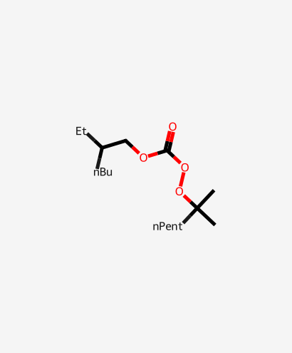 CCCCCC(C)(C)OOC(=O)OCC(CC)CCCC